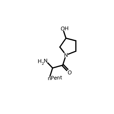 CCCCCC(N)C(=O)N1CCC(O)C1